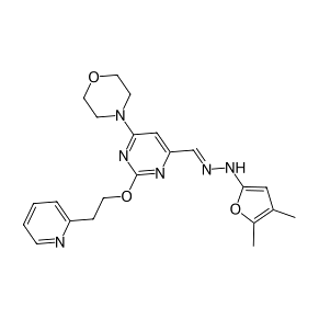 Cc1cc(N/N=C/c2cc(N3CCOCC3)nc(OCCc3ccccn3)n2)oc1C